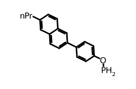 CCCc1ccc2cc(-c3ccc(OP)cc3)ccc2c1